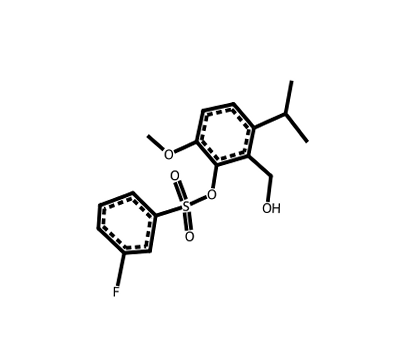 COc1ccc(C(C)C)c(CO)c1OS(=O)(=O)c1cccc(F)c1